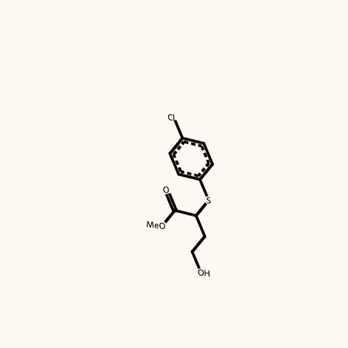 COC(=O)C(CCO)Sc1ccc(Cl)cc1